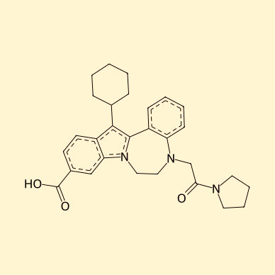 O=C(O)c1ccc2c(C3CCCCC3)c3n(c2c1)CCN(CC(=O)N1CCCC1)c1ccccc1-3